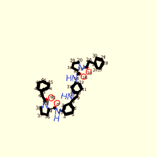 O=C(Nc1cccc(-c2cc3ccc(NC(=O)[C@@H]4CCCN4C(=O)Cc4ccccc4)cc3[nH]2)c1)[C@H]1CCCN1C(=O)Cc1ccccc1